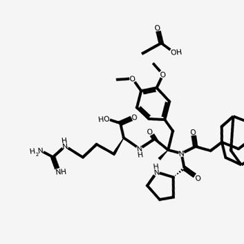 CC(=O)O.COc1ccc(C[C@@](C)(C(=O)N[C@@H](CCCNC(=N)N)C(=O)O)N(C(=O)CC23CC4CC(CC(C4)C2)C3)C(=O)[C@@H]2CCCN2)cc1OC